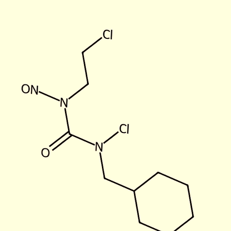 O=NN(CCCl)C(=O)N(Cl)CC1CCCCC1